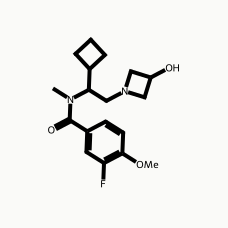 COc1ccc(C(=O)N(C)C(CN2CC(O)C2)C2CCC2)cc1F